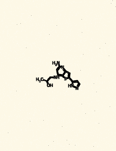 C[C@H](O)CNc1cc(N)nc2cc(-c3ccn[nH]3)sc12